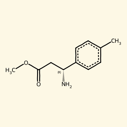 COC(=O)C[C@@H](N)c1ccc(C)cc1